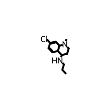 CCCNC1CCN(C)C2C=C(Cl)C=CC12